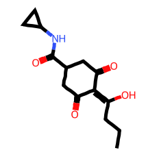 CCCC(O)=C1C(=O)CC(C(=O)NC2CC2)CC1=O